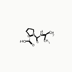 CC(C)NC(=O)N1CCC[C@H]1C(=O)O